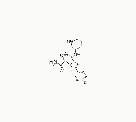 NC(=O)c1nnc(NC2CCCNC2)c2cc(-c3ccc(Cl)cc3)sc12